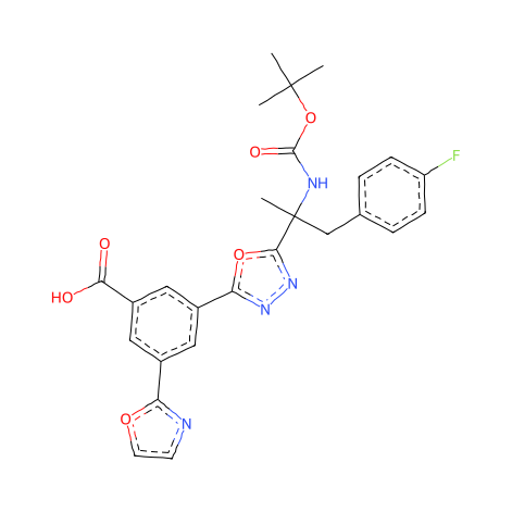 CC(C)(C)OC(=O)NC(C)(Cc1ccc(F)cc1)c1nnc(-c2cc(C(=O)O)cc(-c3ncco3)c2)o1